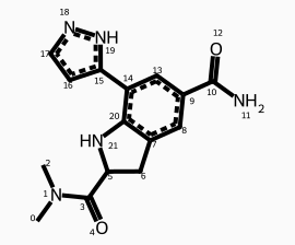 CN(C)C(=O)C1Cc2cc(C(N)=O)cc(-c3ccn[nH]3)c2N1